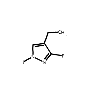 CCc1cn(I)nc1F